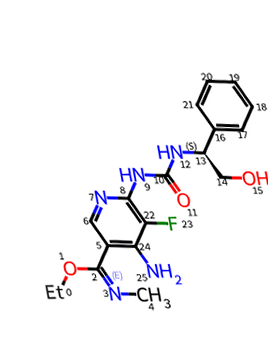 CCO/C(=N/C)c1cnc(NC(=O)N[C@H](CO)c2ccccc2)c(F)c1N